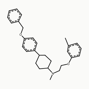 Cc1cccc(OCCN(C)C2CCC(c3ccc(OCc4ccccc4)cc3)CC2)c1